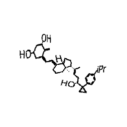 C=C1/C(=C\C=C2/CCC[C@]3(C)[C@@H](C(C)=CC[C@@H](O)C4(c5ccc(C(C)C)cc5)CC4)CC[C@@H]23)C[C@@H](O)C[C@@H]1O